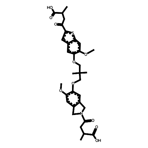 COc1cc2c(cc1OCC(C)(C)COc1cc3cc(C(=O)CC(C)C(=O)O)sc3cc1OC)CN(C(=O)CC(C)C(=O)O)C2